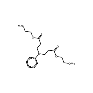 COCCOC(=O)CCN(CCC(=O)OCCOC)c1ccccc1